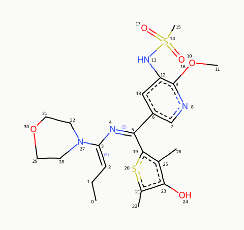 CC/C=C(/N=C(/c1cnc(OC)c(NS(C)(=O)=O)c1)c1sc(C)c(O)c1C)N1CCOCC1